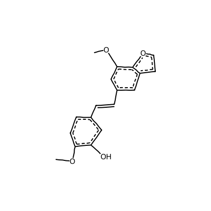 COc1ccc(/C=C/c2cc(OC)c3occc3c2)cc1O